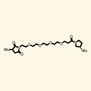 CC(C)(C)C1CC(=O)N(CCOCCOCCOCCOCCC(=O)N2CC[C@@H](C(C)(C)C)C2)C1=O